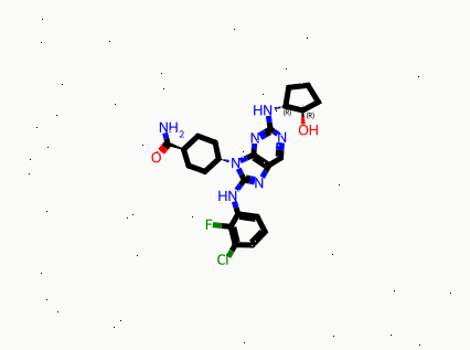 NC(=O)[C@H]1CC[C@H](n2c(Nc3cccc(Cl)c3F)nc3cnc(N[C@@H]4CCC[C@H]4O)nc32)CC1